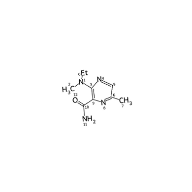 CCN(C)c1ncc(C)nc1C(N)=O